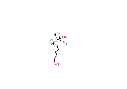 CC(C)(C)O.CCCCCO